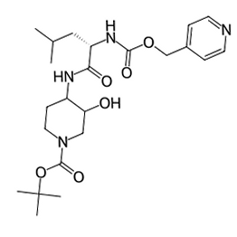 CC(C)C[C@H](NC(=O)OCc1ccncc1)C(=O)NC1CCN(C(=O)OC(C)(C)C)CC1O